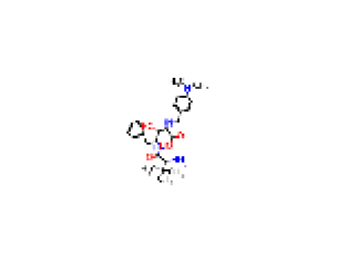 CN(C)c1ccc(CN[C@@H](C(=O)O)[C@H](O)[C@H](Cc2ccccc2)NC(=O)[C@@H](N)C(C)(C)C)cc1